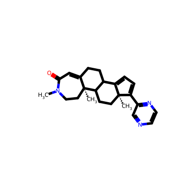 CN1CC[C@@]2(C)C(=CC1=O)CCC1C3=CC=C(c4cnccn4)[C@@]3(C)CCC12